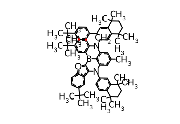 C=C(/C=C1\C(=C/CN2c3ccc(C(C)(C)C)cc3B3c4oc5ccc(C(C)(C)C)cc5c4N(c4ccc5c(c4)C(C)(C)CCC5(C)C)c4cc(C)cc2c43)C(C)(C)CCC1(C)C)c1ccc(C(C)(C)C)cc1